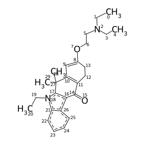 CCN(CC)CCOC1=CC2=C(CC1)C(=O)c1c(n(CC)c3ccccc13)C2(C)C